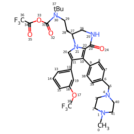 CN1CCN(Cc2ccc(-c3c(-c4cccc(OC(F)(F)F)c4)cn4c3C(=O)NC[C@@H]4CCN(C(=O)OC(=O)C(F)(F)F)C(C)(C)C)cc2)CC1